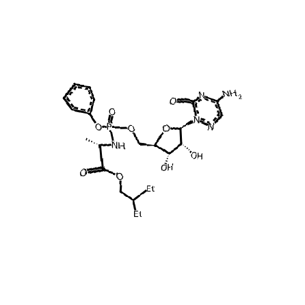 CCC(CC)COC(=O)[C@H](C)NP(=O)(OC[C@H]1O[C@@H](n2ncc(N)nc2=O)[C@H](O)[C@@H]1O)Oc1ccccc1